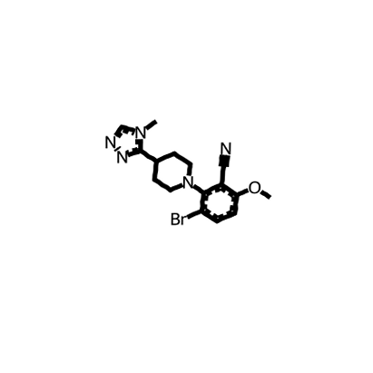 COc1ccc(Br)c(N2CCC(c3nncn3C)CC2)c1C#N